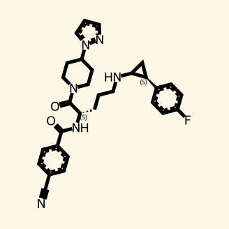 N#Cc1ccc(C(=O)N[C@@H](CCCNC2C[C@H]2c2ccc(F)cc2)C(=O)N2CCC(n3cccn3)CC2)cc1